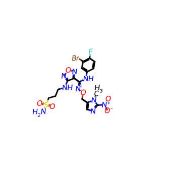 Cn1c(CO/N=C(\Nc2ccc(F)c(Br)c2)c2nonc2NCCCS(N)(=O)=O)cnc1[N+](=O)[O-]